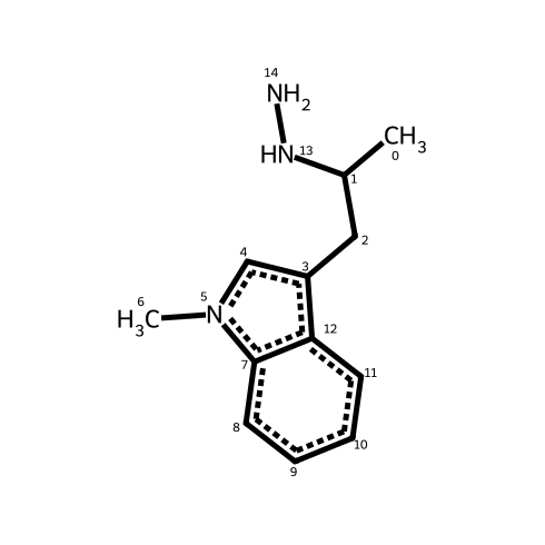 CC(Cc1cn(C)c2ccccc12)NN